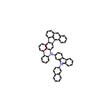 c1ccc(-c2ccccc2N(c2ccc3c(c2)-c2c4ccccc4cc4cccc-3c24)c2ccc3c4ccccc4n(-c4ccc5ccccc5c4)c3c2)cc1